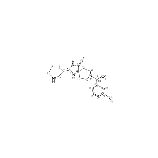 O=C1NC(C2CCCNC2)=NC12CCN([S@@+]([O-])c1cccc(Cl)c1)CC2